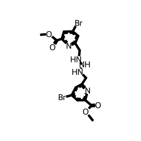 COC(=O)c1cc(Br)cc(CNNNCc2cc(Br)cc(C(=O)OC)n2)n1